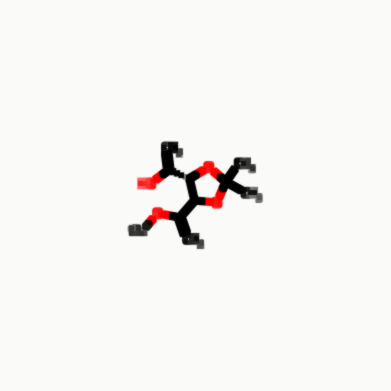 C=C(OC(C)(C)C)C1OC(C)(C)O[C@H]1C(=C)O